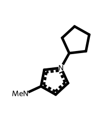 CNc1ccn(C2CCCC2)c1